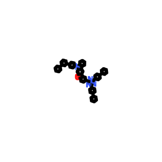 c1ccc(-c2ccc(-c3nc(-c4ccc(-c5ccccc5)cc4)nc(-c4ccc5oc6cc7c(cc6c5c4)c4ccccc4n7-c4ccc(-c5cccc(-c6ccccc6)c5)cc4)n3)cc2)cc1